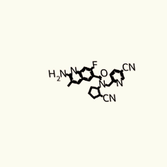 Cc1cc2cc(C(=O)N(Cc3ccc(C#N)cn3)C3CCCC3C#N)c(F)cc2nc1N